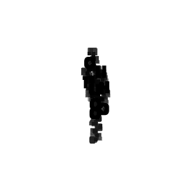 CCCCCCOC(=O)O[C@H]1CC[C@H]2[C@@H]3CC[C@H]4C[C@@H](OCC)C=C[C@]4(C)[C@H]3CC[C@]12C